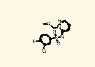 COCn1ncccc1=NS(=O)(=O)c1ccc(F)c(Cl)c1